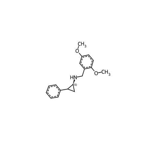 COc1ccc(OC)c(CN[C@H]2CC2c2ccccc2)c1